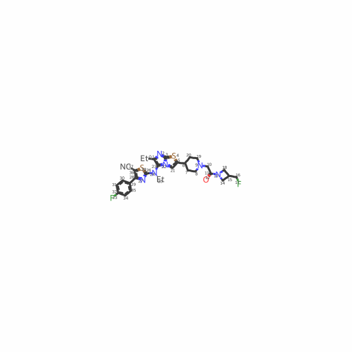 CCc1nc2sc(C3CCN(CC(=O)N4CC(CF)C4)CC3)cn2c1N(CC)c1nc(-c2ccc(F)cc2)c(C#N)s1